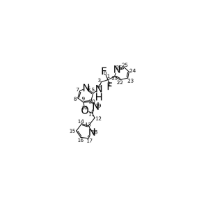 FC(F)(CNc1nccc2oc(Cc3ccccn3)nc12)c1ccccn1